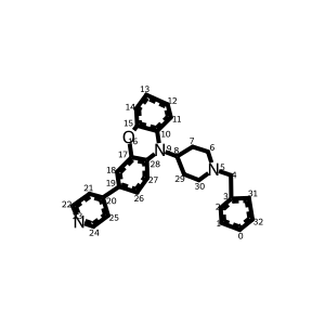 c1ccc(CN2CCC(N3c4ccccc4Oc4cc(-c5ccncc5)ccc43)CC2)cc1